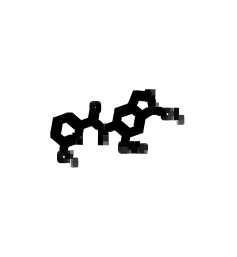 COc1cc2c(cnn2C)cc1NC(=O)c1cccc(C(F)(F)F)n1